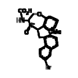 COc1ccc2cc(Br)ccc2c1CC1c2ccccc2OCC(NC(=O)O)[N+]1=O